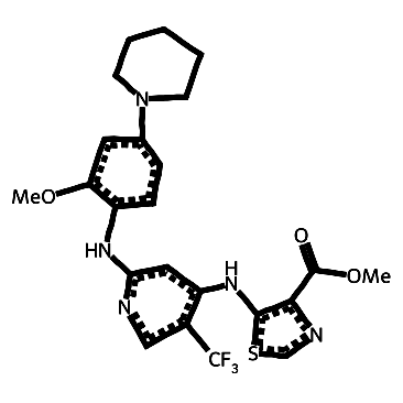 COC(=O)c1ncsc1Nc1cc(Nc2ccc(N3CCCCC3)cc2OC)ncc1C(F)(F)F